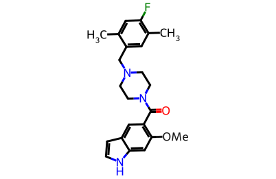 COc1cc2[nH]ccc2cc1C(=O)N1CCN(Cc2cc(C)c(F)cc2C)CC1